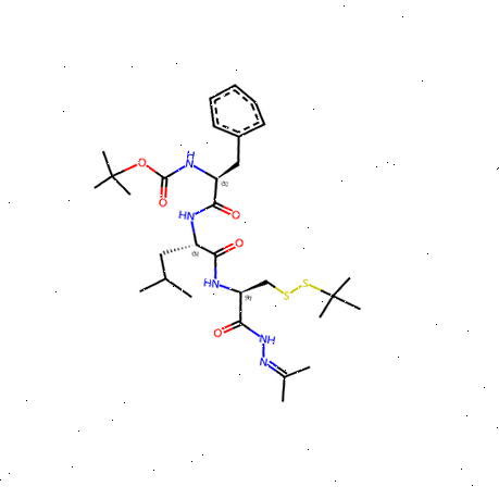 CC(C)=NNC(=O)[C@H](CSSC(C)(C)C)NC(=O)[C@H](CC(C)C)NC(=O)[C@H](Cc1ccccc1)NC(=O)OC(C)(C)C